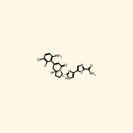 NC(=O)c1ncc(-c2c[nH]c([C@@H]3CC[C@@H]4CC(c5c(N)ccc(Cl)c5F)=CC(=O)N43)n2)s1